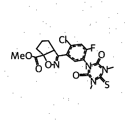 COC(=O)C12CCCC1C(c1cc(-n3c(=O)n(C)c(=S)n(C)c3=O)c(F)cc1Cl)=NO2